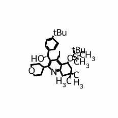 CC1(C)Cc2nc(C3CCOCC3)c([C@H](O)c3ccc(C(C)(C)C)cc3)c(I)c2C(O[Si](C)(C)C(C)(C)C)C1